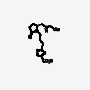 CC(C)(C)CNC[C@H]1CCC(=O)N1CCSc1nc(C(=O)O)cs1